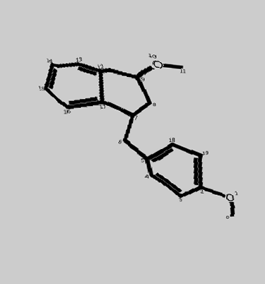 COc1ccc(CC2CC(OC)c3ccccc32)cc1